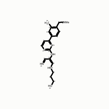 CNCc1ccc(-c2ccnc(N/C(C=N)=C/NCCCO)n2)cc1C